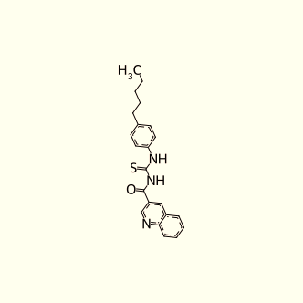 CCCCCc1ccc(NC(=S)NC(=O)c2cnc3ccccc3c2)cc1